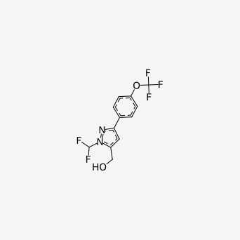 OCc1cc(-c2ccc(OC(F)(F)F)cc2)nn1C(F)F